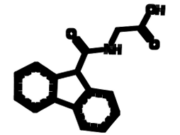 O=C(O)CNC(=O)C1c2ccccc2-c2ccccc21